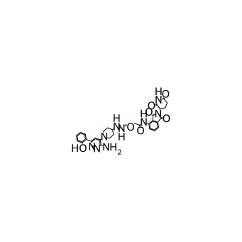 Nc1nnc(-c2ccccc2O)cc1N1CCC(NNCOCC(=O)Nc2cccc3c2C(=O)N(C2CCC(=O)NC2=O)C3=O)CC1